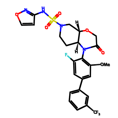 COc1cc(-c2cccc(C(F)(F)F)c2)cc(F)c1N1C(=O)CO[C@H]2CN(S(=O)(=O)Nc3ccon3)CC[C@@H]21